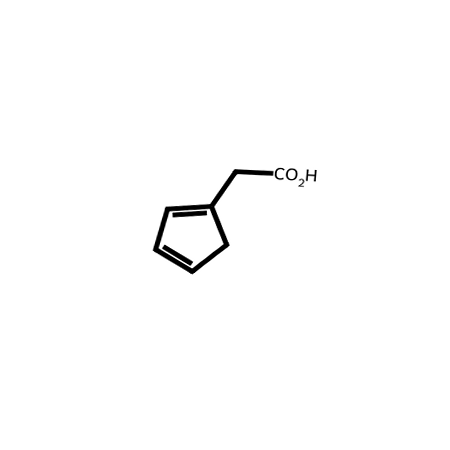 O=C(O)CC1=CC=CC1